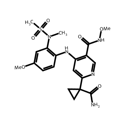 CONC(=O)c1cnc(C2(C(N)=O)CC2)cc1Nc1ccc(OC)cc1N(C)S(C)(=O)=O